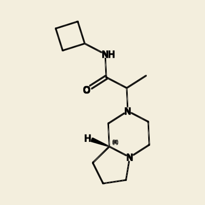 CC(C(=O)NC1CCC1)N1CCN2CCC[C@@H]2C1